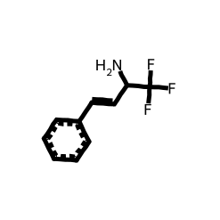 NC(C=Cc1ccccc1)C(F)(F)F